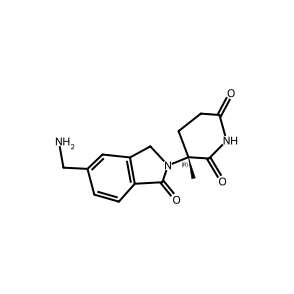 C[C@@]1(N2Cc3cc(CN)ccc3C2=O)CCC(=O)NC1=O